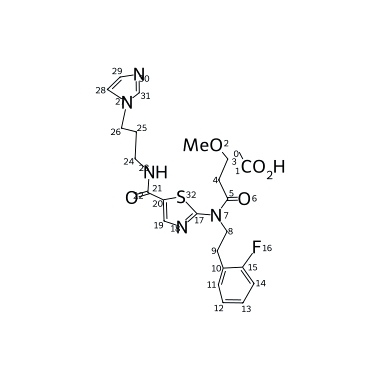 CC(=O)O.COCCC(=O)N(CCc1ccccc1F)c1ncc(C(=O)NCCCn2ccnc2)s1